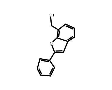 SCc1cccc2cc(-c3ccccc3)oc12